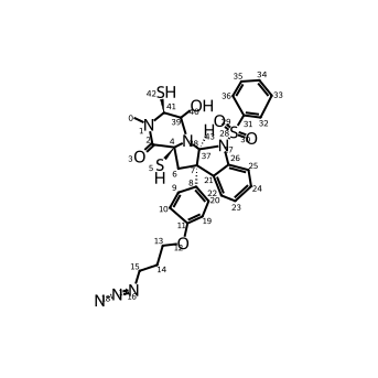 CN1C(=O)[C@@]2(S)C[C@]3(c4ccc(OCCCN=[N+]=[N-])cc4)c4ccccc4N(S(=O)(=O)c4ccccc4)[C@@H]3N2C(O)[C@@H]1S